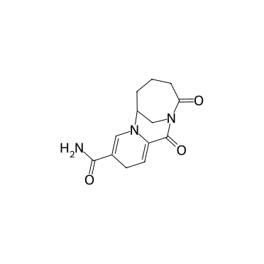 NC(=O)C1=CN2C(=CC1)C(=O)N1CC2CCCC1=O